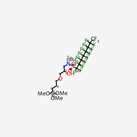 CCCCN(CC(O)COCCC[Si](OC)(OC)OC)S(=O)(=O)C(F)(F)C(F)(F)C(F)(F)C(F)(F)C(F)(F)C(F)(F)C(F)(F)C(F)(F)F